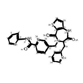 O=C(Nc1ccccn1)c1ccc(CN2C(=O)c3sccc3NC(=O)C2Cc2ccccn2)cn1